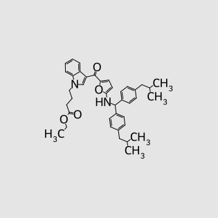 CCOC(=O)CCCn1cc(C(=O)c2ccc(NC(c3ccc(CC(C)C)cc3)c3ccc(CC(C)C)cc3)o2)c2ccccc21